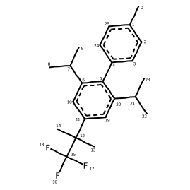 Cc1ccc(-c2c(C(C)C)cc(C(C)(C)C(F)(F)F)cc2C(C)C)cc1